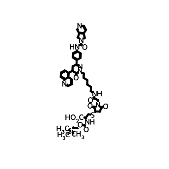 C[Si](C)(C)CCOC(=O)NC(CSC1CC(=O)N(CC(=O)NCCCCCCN2N=C(c3ccc(NC(=O)N4Cc5ccncc5C4)cc3)CC(c3cccc4ncccc34)C2=O)C1=O)C(=O)O